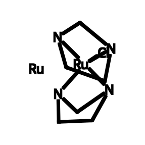 [Cl][Ru]12([N]3CC[N]1C3)[N]1CC[N]2C1.[Ru]